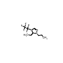 CCCN1N=CN(C(F)(F)C(F)(F)F)C1CC